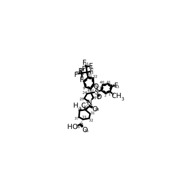 Cc1cc(S(=O)(=O)[C@@]2(c3ccc(C(F)(C(F)(F)F)C(F)(F)F)cc3)CCN(C(=O)[C@]3(C)CC[C@H](C(=O)O)CC3)C2)ccc1F